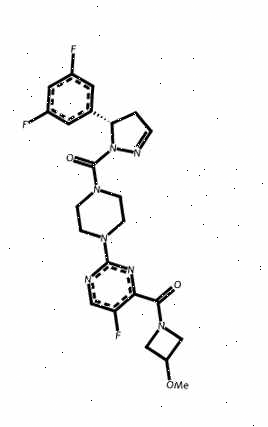 COC1CN(C(=O)c2nc(N3CCN(C(=O)N4N=CC[C@H]4c4cc(F)cc(F)c4)CC3)ncc2F)C1